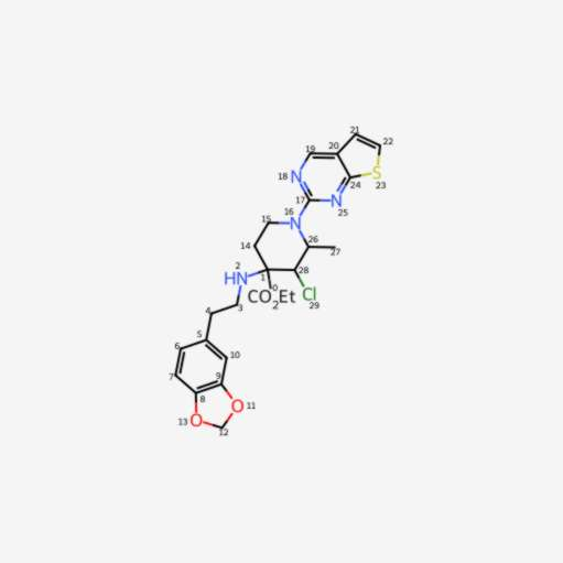 CCOC(=O)C1(NCCc2ccc3c(c2)OCO3)CCN(c2ncc3ccsc3n2)C(C)C1Cl